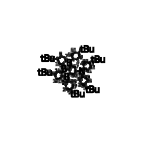 CC(C)(C)c1ccc(B2c3ccc(C(C)(C)C)cc3B3c4cc(C(C)(C)C)ccc4B(c4ccc(C(C)(C)C)cc4)c4cc(N(c5ccc(C(C)(C)C)cc5)c5ccc(C(C)(C)C)cc5)cc2c43)cc1